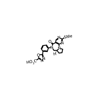 CSc1ncc2c(n1)N1CCC[C@H]1CN(c1cccc(-c3nnc(C(=O)O)o3)c1)C2=O